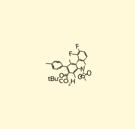 Cc1ccc(-c2c(C)c3c(c(C)c2[C@H](OC(C)(C)C)C(=O)O)N(S(C)(=O)=O)Cc2ccc(F)c(F)c2-3)cc1